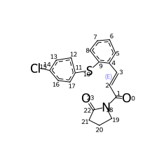 O=C(/C=C/c1ccccc1Sc1ccc(Cl)cc1)N1CCCC1=O